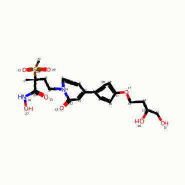 C[C@@](CCn1ccc(-c2ccc(OCCC(O)CO)cc2)cc1=O)(C(=O)NO)S(C)(=O)=O